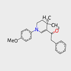 COc1ccc(N2C=C(C(=O)Cc3ccccc3)C(C)(C)CC2)cc1